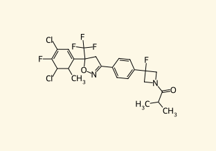 CC(C)C(=O)N1CC(F)(c2ccc(C3=NOC(C4=CC(Cl)=C(F)C(Cl)C4C)(C(F)(F)F)C3)cc2)C1